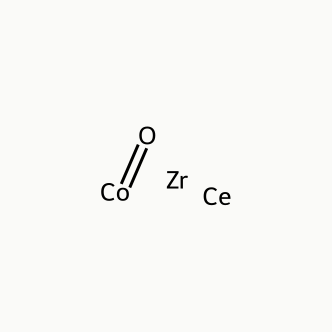 [Ce].[O]=[Co].[Zr]